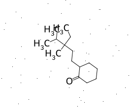 CCC(C)(CCC1CCCCC1=O)C(C)C